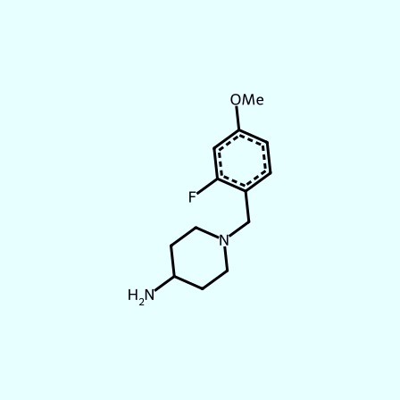 COc1ccc(CN2CCC(N)CC2)c(F)c1